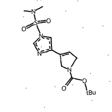 CN(C)S(=O)(=O)n1cnc(C2=CCN(C(=O)OC(C)(C)C)C2)c1